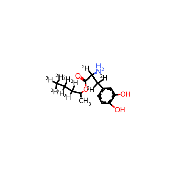 [2H]C([2H])([2H])C([2H])([2H])C([2H])([2H])C(C)OC(=O)C([2H])(N)C([2H])([2H])c1ccc(O)c(O)c1